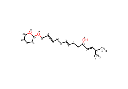 CC(C)C=CC(O)CCC=CCCC=CCOC1CCCCO1